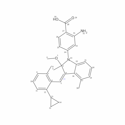 COC1(C)/C(=C\c2c(C)cccc2C2CC2)c2c(C)cccc2N1c1ccc(C(=O)O)c(N)c1